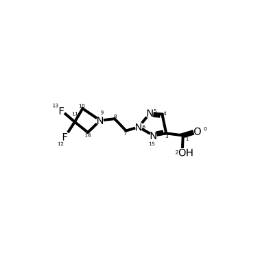 O=C(O)c1cnn(CCN2CC(F)(F)C2)n1